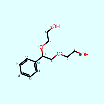 OCCOCC(OCCO)c1ccccc1